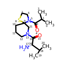 CC(C)C(=O)N1CCSC12CCCN(C(=O)[C@@H](N)C(C)C)C2